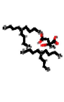 CC(O)(CC(=O)[O-])C(=O)[O-].CCC[CH2][Sn+]([CH2]CCC)[CH2]CCC.CCC[CH2][Sn+]([CH2]CCC)[CH2]CCC